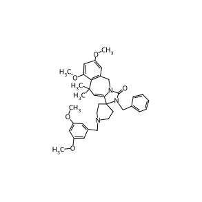 COc1cc(CN2CCC3(CC2)C2=CC(C)(C)c4c(cc(OC)cc4OC)CN2C(=O)N3Cc2ccccc2)cc(OC)c1